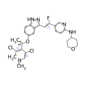 C=N/C=C(Cl)\C(=C(/C)Cl)[C@@H](C)Oc1ccc2[nH]nc(/C=C(\F)c3ccc(NC4CCOCC4)nc3)c2c1